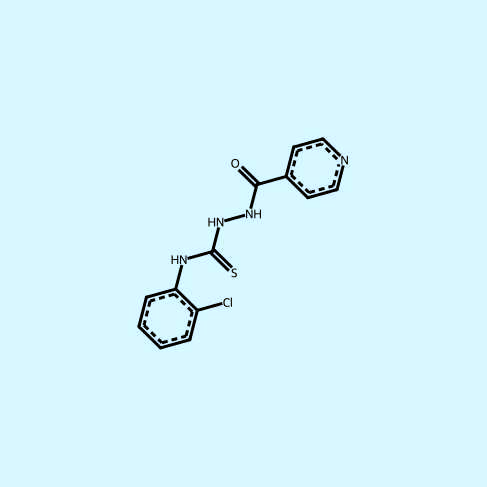 O=C(NNC(=S)Nc1ccccc1Cl)c1ccncc1